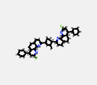 Cc1cc(-c2ccc3ccc4c(-c5ccccc5)cc(F)nc4c3n2)ccc1-c1ccc2ccc3c(-c4ccccc4)cc(F)nc3c2n1